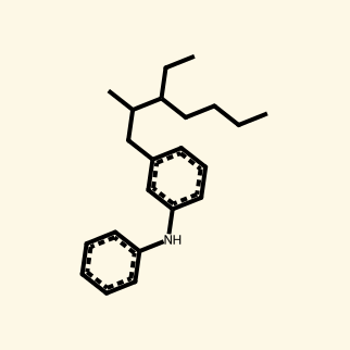 CCCCC(CC)C(C)Cc1cccc(Nc2ccccc2)c1